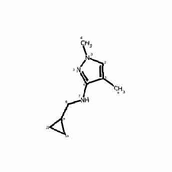 Cc1cn(C)nc1NCC1CC1